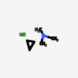 C1CC1.CN(C)C.Cl